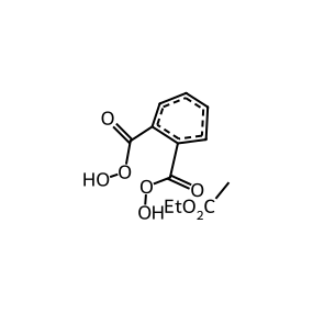 CCOC(C)=O.O=C(OO)c1ccccc1C(=O)OO